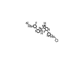 CN(C)CCNc1cc(F)cc(-c2nccc3[nH]c(-c4n[nH]c5cnc(-c6cncc(CNCC7CCCC7)c6)c(F)c45)nc23)c1